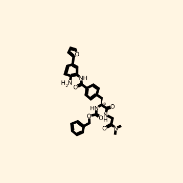 CN(C)C(=O)CNC(=O)[C@H](Cc1ccc(C(=O)Nc2cc(-c3ccco3)ccc2N)cc1)NC(=O)OCc1ccccc1